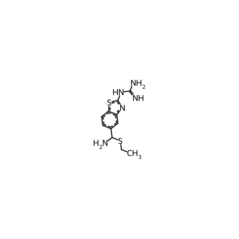 CCSC(N)c1ccc2sc(NC(=N)N)nc2c1